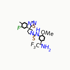 COc1ccc([C@@H](N)C(F)(F)F)cc1NC(=S)N1CC[C@](c2ccc(C)c(F)c2)(c2ncns2)C1